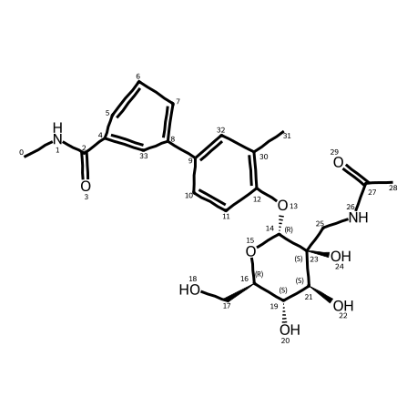 CNC(=O)c1cccc(-c2ccc(O[C@H]3O[C@H](CO)[C@@H](O)[C@H](O)[C@@]3(O)CNC(C)=O)c(C)c2)c1